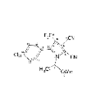 COC(C)n1c(C#N)c(C#N)c(C(F)(F)F)c1-c1ccc(Cl)cc1